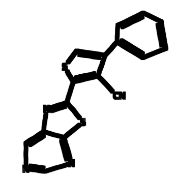 N#Cc1c(-c2ccccc2)csc1-c1nc2cncnc2s1